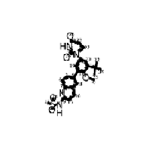 COc1c(-c2ccc3nc(NS(C)(=O)=O)ccc3c2)cc(-n2ccc(=O)[nH]c2=O)cc1C(C)(C)C